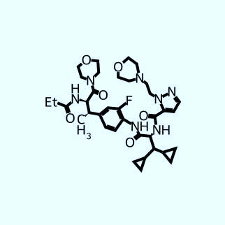 CCC(=O)N[C@@H](C(=O)N1CCOCC1)[C@@H](C)c1ccc(NC(=O)[C@@H](NC(=O)c2ccnn2CCN2CCOCC2)C(C2CC2)C2CC2)c(F)c1